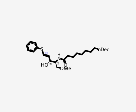 CCCCCCCCCCCCCCCCCC(=O)N[C@@H](COC)[C@H](O)/C=C/Sc1ccccc1